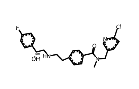 CN(Cc1ccc(Cl)nc1)C(=O)c1ccc(CCNC[C@H](O)c2ccc(F)cc2)cc1